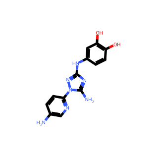 Nc1ccc(-n2nc(Nc3ccc(O)c(O)c3)nc2N)nc1